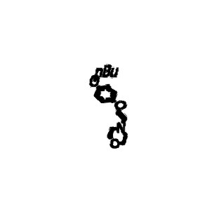 CCCCOc1ccc(OCCN2CCOCC2)cc1